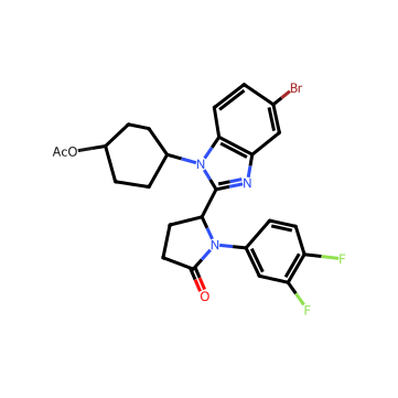 CC(=O)OC1CCC(n2c(C3CCC(=O)N3c3ccc(F)c(F)c3)nc3cc(Br)ccc32)CC1